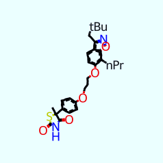 CCCc1c(OCCCOc2ccc(C3(C)SC(=O)NC3=O)cc2)ccc2c(CC(C)(C)C)noc12